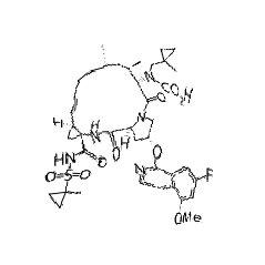 COc1cc(F)cc2c(O[C@@H]3C[C@H]4C(=O)N[C@]5(C(=O)NS(=O)(=O)C6(C)CC6)C[C@H]5C=CCC[C@H](C)C[C@@H](C)[C@H](N(CC5(C)CC5)C(=O)O)C(=O)N4C3)nccc12